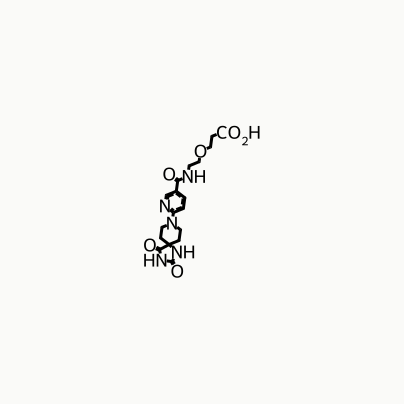 O=C(O)CCOCCNC(=O)c1ccc(N2CCC3(CC2)NC(=O)NC3=O)nc1